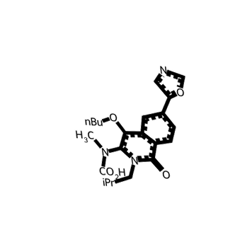 CCCCOc1c(N(C)C(=O)O)n(CC(C)C)c(=O)c2ccc(-c3cnco3)cc12